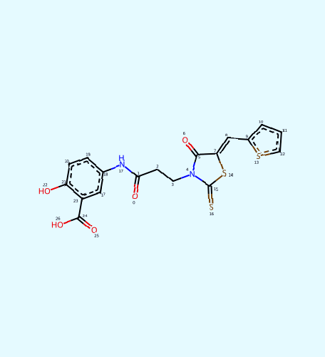 O=C(CCN1C(=O)/C(=C/c2cccs2)SC1=S)Nc1ccc(O)c(C(=O)O)c1